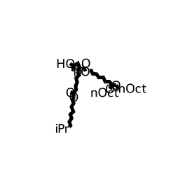 CCCCCCCCC(CCCCCCCC)OC(=O)CCCCCCCOC(=O)[C@@H]1CC(O)CN1CCCCCC(=O)OCCCCCCCCC(C)C